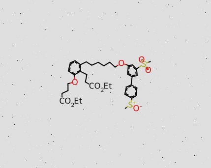 CCOC(=O)CCCOc1cccc(CCCCCCOc2cc(-c3ccc([S+](C)[O-])cc3)cc(S(C)(=O)=O)c2)c1CCC(=O)OCC